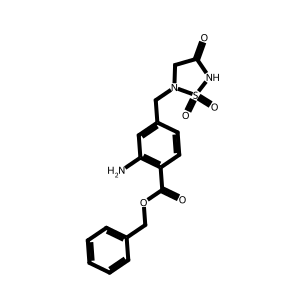 Nc1cc(CN2CC(=O)NS2(=O)=O)ccc1C(=O)OCc1ccccc1